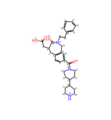 O=C(O)CC1Cc2ccc(C(=O)N3CCC(C4CCNCC4)CC3)cc2CN(CCc2ccccc2)C1=O